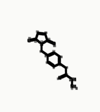 NNC(=O)Cc1ccc(CN2C(=O)C=CC2=O)cc1